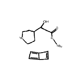 CCCCOC(=O)C(O)C1CCNCC1.c1cc2ccc1-2